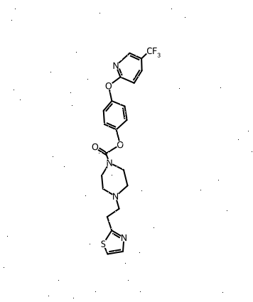 O=C(Oc1ccc(Oc2ccc(C(F)(F)F)cn2)cc1)N1CCN(CCc2nccs2)CC1